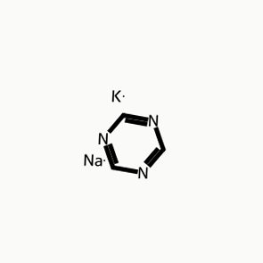 [K].[Na].c1ncncn1